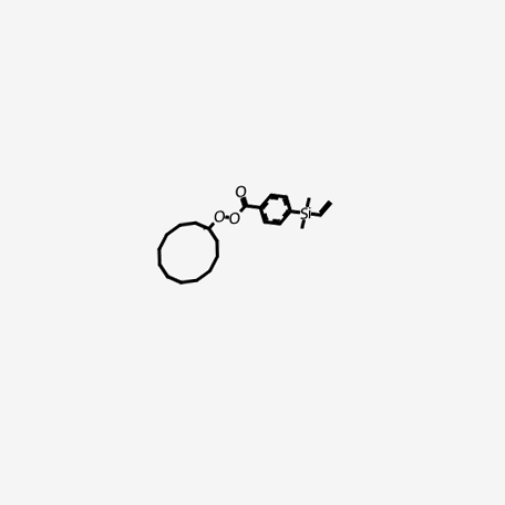 C=C[Si](C)(C)c1ccc(C(=O)OO[C]2CCCCCCCCCCC2)cc1